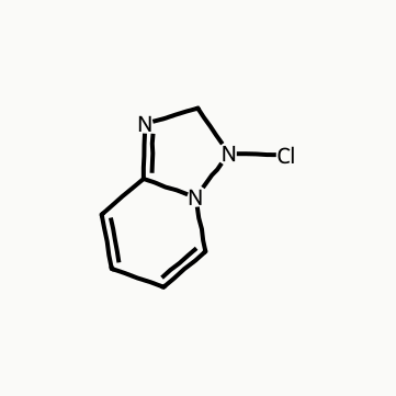 ClN1CN=C2C=CC=CN21